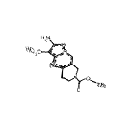 CC(C)(C)OC(=O)N1CCc2nc3c(C(=O)O)c(N)nn3cc2C1